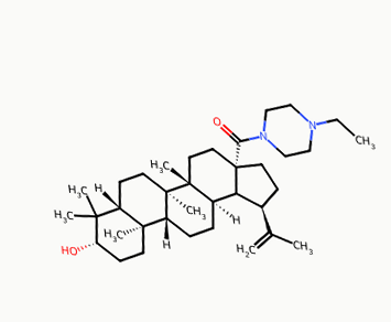 C=C(C)[C@@H]1CC[C@]2(C(=O)N3CCN(CC)CC3)CC[C@]3(C)[C@H](CC[C@@H]4[C@@]5(C)CC[C@H](O)C(C)(C)[C@@H]5CC[C@]43C)C12